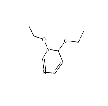 CCOC1C=CN=CN1OCC